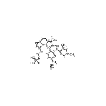 Cc1ccc(C(NC(=O)C2(c3ccc4[nH]cc(CCOP(=O)(O)O)c4c3)CC2)c2cccc(C)n2)c(C)c1.[Na].[Na]